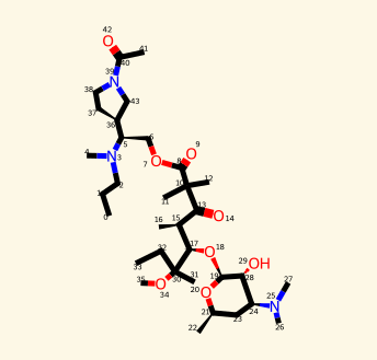 CCCN(C)[C@H](COC(=O)C(C)(C)C(=O)[C@H](C)[C@@H](O[C@@H]1O[C@H](C)C[C@H](N(C)C)[C@H]1O)C(C)(CC)OC)[C@H]1CCN(C(C)=O)C1